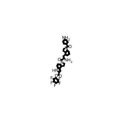 N/C(=C\c1cccc2c1CCN2C(=O)c1ccc(N)cc1)C(=O)N1CCc2c1ccc1[nH]c(C(=O)Oc3c(F)c(F)c(F)c(F)c3F)cc21